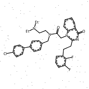 CCN(CC)CCN(Cc1ccc(-c2ccc(Cl)cc2)cc1)C(=O)Cn1c(CCc2cccc(F)c2F)nc(=O)c2ccccc21